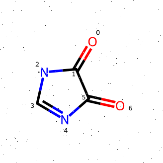 O=C1[N]C=NC1=O